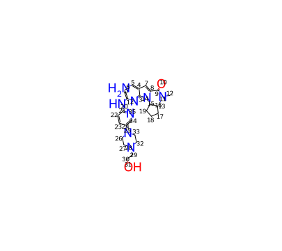 C=C(/N=C1\C(=C/N)C=C(C(=O)N(C)C)N1C1CCCC1)Nc1ccc(N2CCN(CCO)CC2)cn1